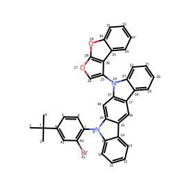 CC(C)(C)c1ccc(-n2c3ccccc3c3cc4c5ccccc5n(-c5coc6oc7ccccc7c56)c4cc32)c(Br)c1